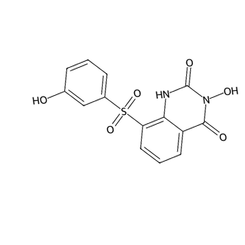 O=c1[nH]c2c(S(=O)(=O)c3cccc(O)c3)cccc2c(=O)n1O